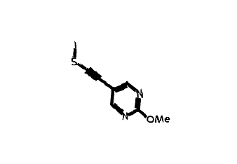 COc1ncc(C#CSI)cn1